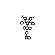 CC(C)(C)c1ccc2c(c1)N(c1ccccc1)c1cc(-c3c4ccccc4c(-c4ccc(-c5cccc6ccccc56)cc4)c4ccccc34)cc3c1B2c1ccc(C(C)(C)C)cc1N3c1ccccc1